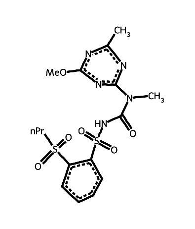 CCCS(=O)(=O)c1ccccc1S(=O)(=O)NC(=O)N(C)c1nc(C)nc(OC)n1